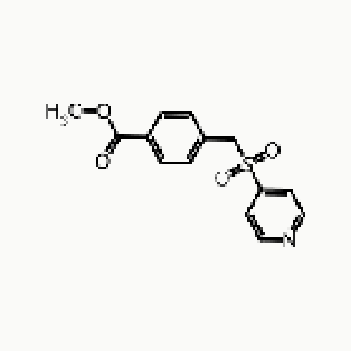 COC(=O)c1ccc(CS(=O)(=O)c2ccncc2)cc1